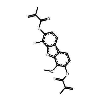 C=C(C)C(=O)Oc1ccc2c(oc3c(OC)c(OC(=O)C(=C)C)ccc32)c1F